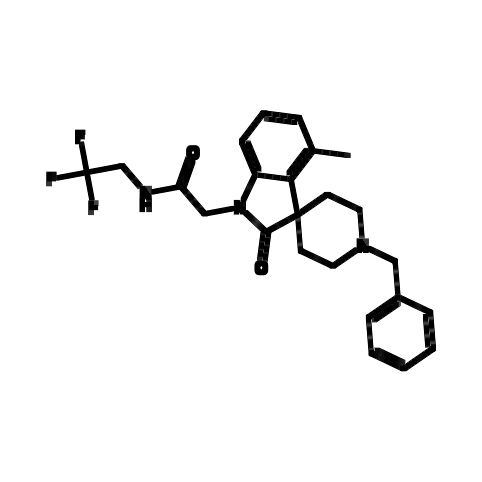 Cc1cccc2c1C1(CCN(Cc3ccccc3)CC1)C(=O)N2CC(=O)NCC(F)(F)F